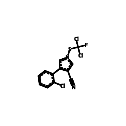 N#Cc1cn(SC(F)(Cl)Cl)cc1-c1ccccc1Cl